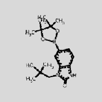 CC(C)(O)Cn1c(=O)[nH]c2ccc(B3OC(C)(C)C(C)(C)O3)cc21